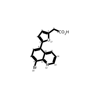 O=C(O)Cc1ccc(-c2ccc(Br)c3ncccc23)o1